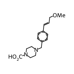 COC/C=C/c1ccc(CN2CCN(C(=O)O)CC2)cc1